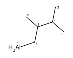 CC(C)C(C)[CH2][AlH2]